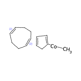 C1=C\CC/C=C\CC/1.[CH3][Co][C]1=CC=CC1